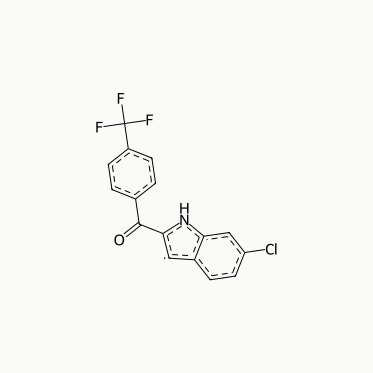 O=C(c1ccc(C(F)(F)F)cc1)c1[c]c2ccc(Cl)cc2[nH]1